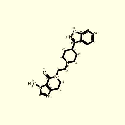 Cn1cnc2c1C(=O)N(CCN1CCC(c3noc4ccccc34)CC1)CC2